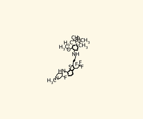 COc1cc(P(=O)(C(C)C)C(C)C)ccc1NCC#Cc1sc2c(N[C@H]3CCN(C)C[C@@H]3F)cccc2c1CC(F)(F)F